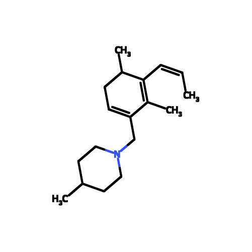 C/C=C\C1=C(C)C(CN2CCC(C)CC2)=CCC1C